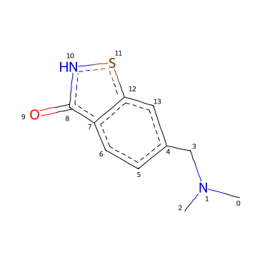 CN(C)Cc1ccc2c(=O)[nH]sc2c1